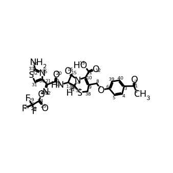 CC(=O)c1ccc(OCC2=C(C(=O)O)N3C(=O)C(NC(=O)C(=NOC(=O)C(F)(F)F)c4csc(N)n4)[C@@H]3SC2)cc1